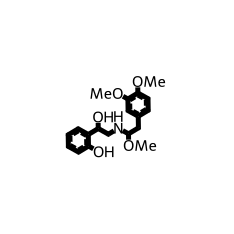 COc1ccc(CC(NCC(O)c2ccccc2O)OC)cc1OC